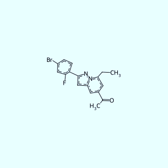 CCc1cc(C(C)=O)cc2cc(-c3ccc(Br)cc3F)nn12